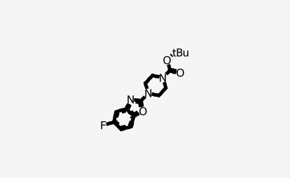 CC(C)(C)OC(=O)N1CCN(c2nc3cc(F)ccc3o2)CC1